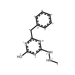 CNNc1nc(O)nc(Cc2ccccc2)n1